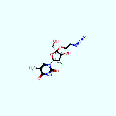 Cc1cn([C@@H]2O[C@@](CO)(OCCN=[N+]=[N-])[C@@H](O)[C@@H]2F)c(=O)[nH]c1=O